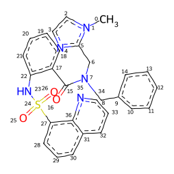 Cn1ccnc1CN(Cc1ccccc1)C(=O)c1ccccc1NS(=O)(=O)c1cccc2cccnc12